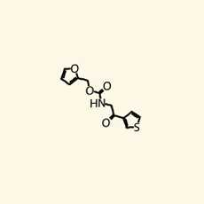 O=C(NCC(=O)c1ccsc1)OCc1ccco1